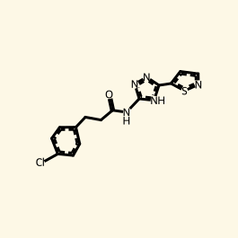 O=C(CCc1ccc(Cl)cc1)Nc1nnc(-c2ccns2)[nH]1